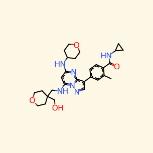 Cc1cc(-c2cnn3c(NCC4(CO)CCOCC4)cc(NC4CCOCC4)nc23)ccc1C(=O)NC1CC1